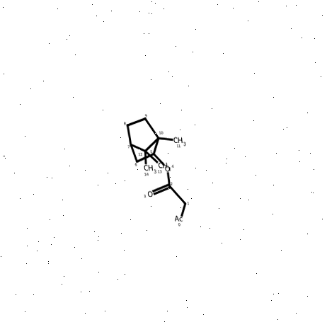 CC(=O)CC(=O)OC1CC2CCC1(C)C2(C)C